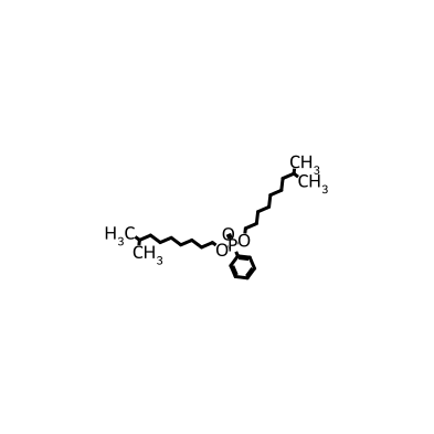 CC(C)CCCCCCCOP(=O)(OCCCCCCCC(C)C)c1ccccc1